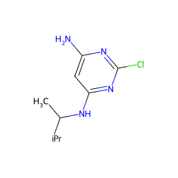 CC(C)C(C)Nc1cc(N)nc(Cl)n1